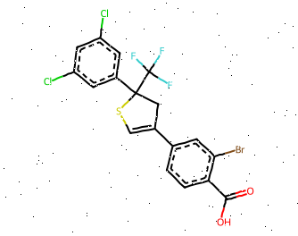 O=C(O)c1ccc(C2=CSC(c3cc(Cl)cc(Cl)c3)(C(F)(F)F)C2)cc1Br